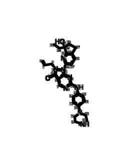 C=CCn1c(=O)c2cnc(Nc3ccc(N4CCNCC4)cc3)nc2n1-c1ccc2c(n1)[C@](O)(CC)CC2